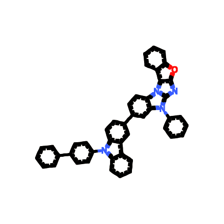 c1ccc(-c2ccc(-n3c4ccccc4c4cc(-c5ccc6c(c5)n(-c5ccccc5)c5nc7oc8ccccc8c7n65)ccc43)cc2)cc1